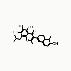 Cc1oc2c(CC(C)C)c(O)c(O)c(O)c2c(=O)c1-c1ccc2c(C)c(O)ccc2c1